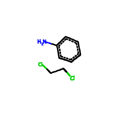 ClCCCl.Nc1ccccc1